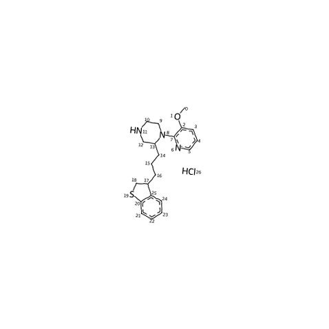 COc1cccnc1N1CCNCC1CCCC1CSc2ccccc21.Cl